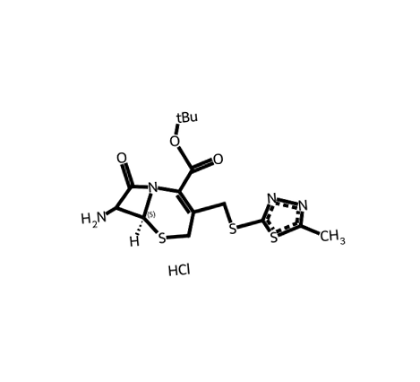 Cc1nnc(SCC2=C(C(=O)OC(C)(C)C)N3C(=O)C(N)[C@@H]3SC2)s1.Cl